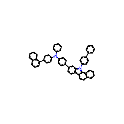 c1ccc(-c2ccc(-n3c4cc(-c5ccc(N(c6ccccc6)c6ccc(-c7cccc8ccccc78)cc6)cc5)ccc4c4ccc5ccccc5c43)cc2)cc1